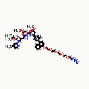 C=C(/C=C\C(=C/C)c1ccc(OCCOCCOCCOCCOCCN=[N+]=[N-])c2ccccc12)[C@H](CC(=O)OC)NC(=O)[C@H](CC(=O)OC)NC(=O)CCCN(C(=O)OC(C)(C)C)c1cc(C)ccn1